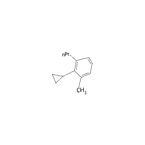 CCCc1cccc(C)c1C1CC1